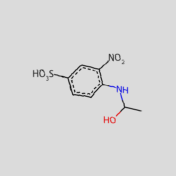 CC(O)Nc1ccc(S(=O)(=O)O)cc1[N+](=O)[O-]